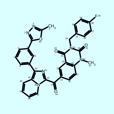 Cc1nnc(-c2cccc(-c3nc(C(=O)c4ccc5c(c4)c(=O)n(Cc4ccc(F)cc4)c(=O)n5C)n4ccccc34)c2)o1